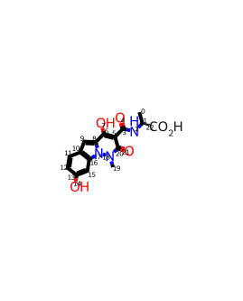 C[C@H](NC(=O)c1c(O)c2cc3ccc(O)cc3n2n(C)c1=O)C(=O)O